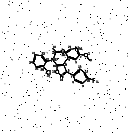 COc1cc(-c2c(-c3ccc(F)cc3)noc2N(C(C)=O)c2ccccc2Cl)ccn1